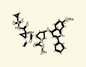 C=C[C@@H]1C[C@]1(NC(=O)[C@@H]1CC(Oc2cc(-c3ccccc3)nc3cc(OC)ccc23)CN1C(=O)OC(C)(C)C)C(=O)NS(=O)(=O)C1CC1